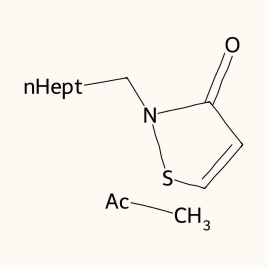 CC(C)=O.CCCCCCCCn1sccc1=O